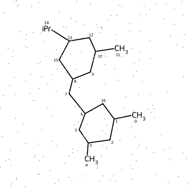 CC1CC(C)CC(CC2CC(C)CC(C(C)C)C2)C1